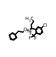 CCC/C(=N\OCCc1ccccc1)c1cc(Cl)ccc1C(F)(F)F